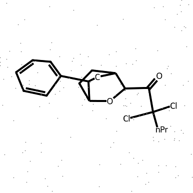 [CH2]CCC(Cl)(Cl)C(=O)[C]1OC2CCC1CC2c1ccccc1